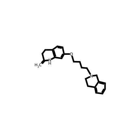 C=C1CCc2ccc(OCCCCN3CCc4ccccc4C3)cc2N1